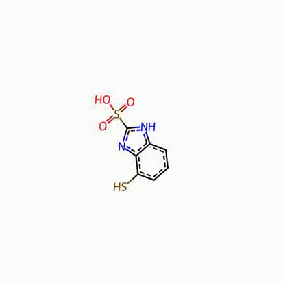 O=S(=O)(O)c1nc2c(S)cccc2[nH]1